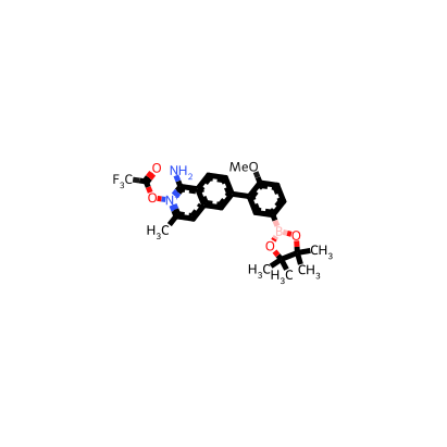 COc1ccc(B2OC(C)(C)C(C)(C)O2)cc1-c1ccc2c(N)[n+](OC(=O)C(F)(F)F)c(C)cc2c1